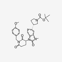 COc1ccc(CN2C(=O)CCC(n3c(=O)n(C)c4cc([C@@H]5CCN(C(=O)OC(C)(C)C)C5)ccc43)C2=O)cc1